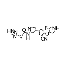 N#Cc1cc(-c2ccnc(NC(=O)C3CC3c3nc[nH]n3)c2)ccc1O[C@H]1CCNC[C@H]1F